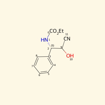 CCOC(=O)N[C@@H](c1ccccc1)C(O)C#N